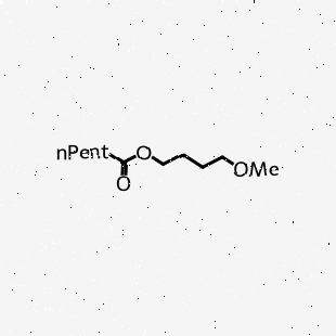 CCCCCC(=O)OCCCCOC